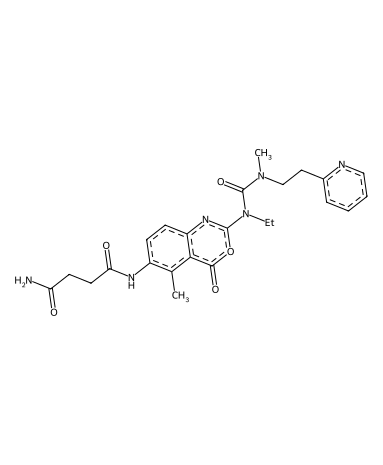 CCN(C(=O)N(C)CCc1ccccn1)c1nc2ccc(NC(=O)CCC(N)=O)c(C)c2c(=O)o1